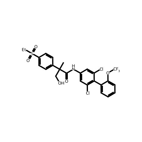 CCS(=O)(=O)c1ccc(C(C)(CO)C(=O)Nc2cc(Cl)c(-c3ccccc3OC(F)(F)F)c(Cl)c2)cc1